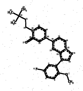 COc1ccc(F)cc1-c1cnn2ccc(-c3ccn(CCC(C)(C)C)c(=O)c3)nc12